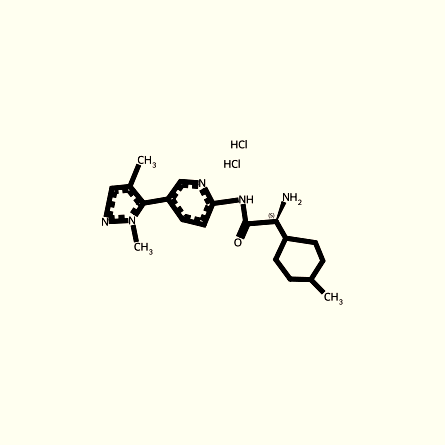 Cc1cnn(C)c1-c1ccc(NC(=O)[C@@H](N)C2CCC(C)CC2)nc1.Cl.Cl